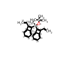 C=CC1=C([Si](C)(O[Si](C)(C)C)C2=C(C=C)c3ccccc32)c2ccccc21